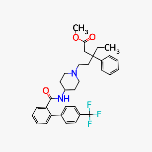 CCC(CCN1CCC(NC(=O)c2ccccc2-c2ccc(C(F)(F)F)cc2)CC1)(CC(=O)OC)c1ccccc1